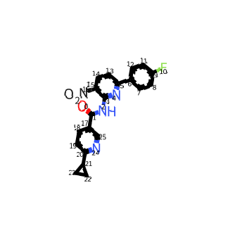 O=C(Nc1nc(-c2ccc(F)cc2)ccc1[N+](=O)[O-])c1ccc(C2CC2)nc1